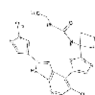 CCNC(=O)NC1(c2ncc(-c3c(Cl)cnc4[nH]c(-c5cnn(C)c5)cc34)s2)CCC1